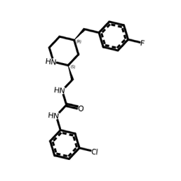 O=C(NC[C@@H]1C[C@H](Cc2ccc(F)cc2)CCN1)Nc1cccc(Cl)c1